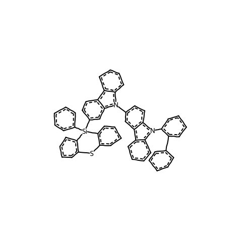 c1ccc(-c2ccccc2-n2c3ccccc3c3cc(-n4c5ccccc5c5ccc([Si]6(c7ccccc7)c7ccccc7Sc7ccccc76)cc54)ccc32)cc1